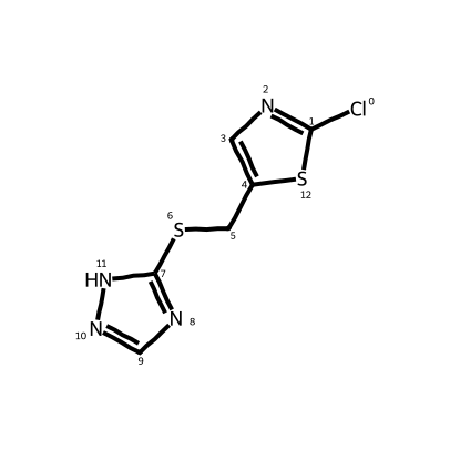 Clc1ncc(CSc2ncn[nH]2)s1